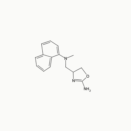 CN(CC1COC(N)=N1)c1cccc2ccccc12